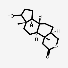 C[C@]12CC(=O)OC[C@@H]1CC[C@@H]1[C@@H]2CC[C@]2(C)C(O)CC[C@@H]12